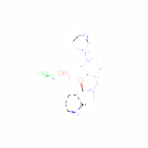 CCN(CC1CCN(N2C=NC=CC2)CC1)C(=O)c1cccnc1.Cl.Cl.O